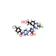 CC(C)(O)c1ccc2nc(C(F)(F)F)nc(N3CC(O)C(N4CCN(C(=O)c5ccc(Cl)cc5)CC4)C3)c2c1